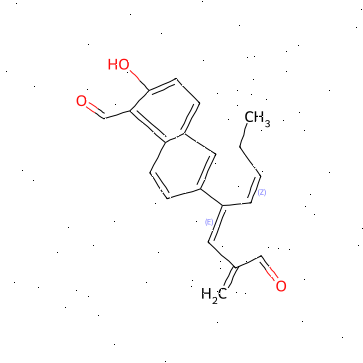 C=C(C=O)/C=C(\C=C/CC)c1ccc2c(C=O)c(O)ccc2c1